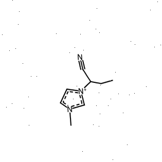 CCC(C#N)[n+]1ccn(C)c1